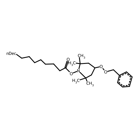 CCCCCCCCCCCCCCCCCC(=O)ON1C(C)(C)CC(OOCc2ccccc2)CC1(C)C